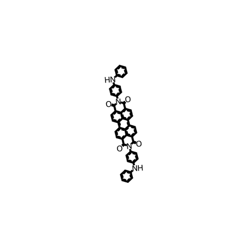 O=C1c2ccc3c4ccc5c6c(ccc(c7ccc(c2c37)C(=O)N1c1ccc(Nc2ccccc2)cc1)c64)C(=O)N(c1ccc(Nc2ccccc2)cc1)C5=O